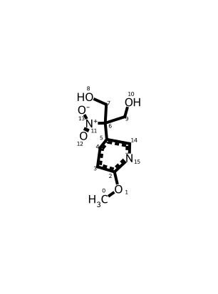 COc1ccc(C(CO)(CO)[N+](=O)[O-])cn1